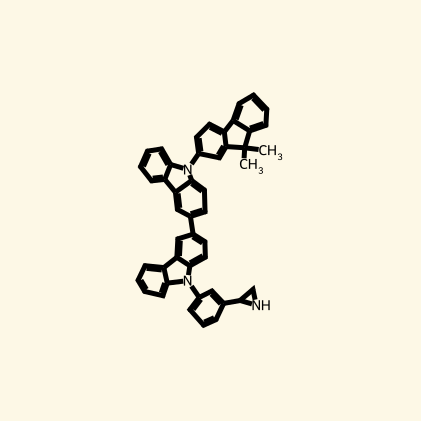 CC1(C)c2ccccc2-c2ccc(-n3c4ccccc4c4cc(-c5ccc6c(c5)c5ccccc5n6-c5cccc(C6CN6)c5)ccc43)cc21